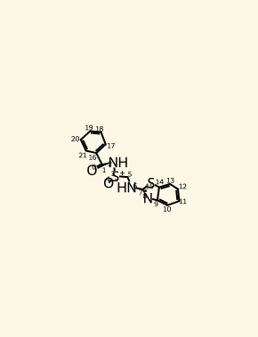 O=C(N[S+]([O-])CNc1nc2ccccc2s1)c1ccccc1